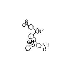 CCn1cc(-c2ccnc3c2cc(-c2cccc(NC(C)=O)c2)n3S(=O)(=O)c2ccccc2)c(-c2ccc([N+](=O)[O-])cc2)n1